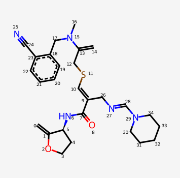 C=C1OCC[C@@H]1NC(=O)/C(=C/SCC(=C)N(C)Cc1ccccc1C#N)C/N=C/N1CCCCC1